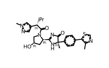 Cc1ncsc1-c1ccc([C@]2(C)NC([C@H]3C[C@@H](O)CN3C(=O)[C@H](c3cnn(C)c3)C(C)C)=NC2=O)cc1